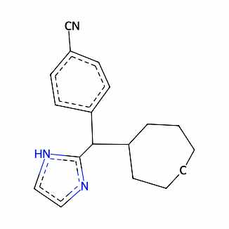 N#Cc1ccc(C(c2ncc[nH]2)C2CCCCCC2)cc1